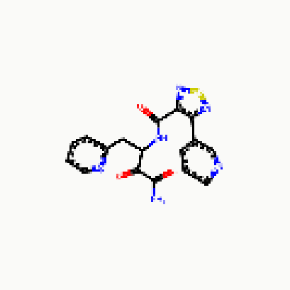 NC(=O)C(=O)C(Cc1ccccn1)NC(=O)c1nsnc1-c1cccnc1